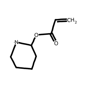 C=CC(=O)OC1CCCC[N]1